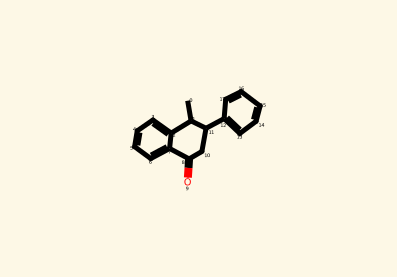 CC1c2ccccc2C(=O)CC1c1ccccc1